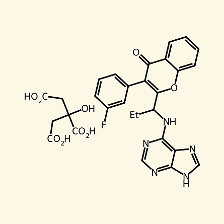 CCC(Nc1ncnc2[nH]cnc12)c1oc2ccccc2c(=O)c1-c1cccc(F)c1.O=C(O)CC(O)(CC(=O)O)C(=O)O